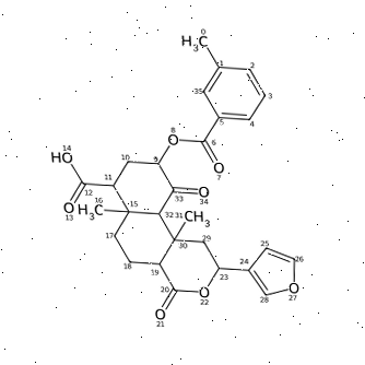 Cc1cccc(C(=O)OC2CC(C(=O)O)C3(C)CCC4C(=O)OC(c5ccoc5)CC4(C)C3C2=O)c1